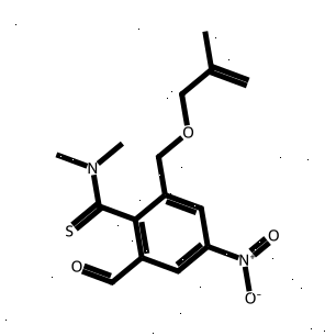 C=C(C)COCc1cc([N+](=O)[O-])cc(C=O)c1C(=S)N(C)C